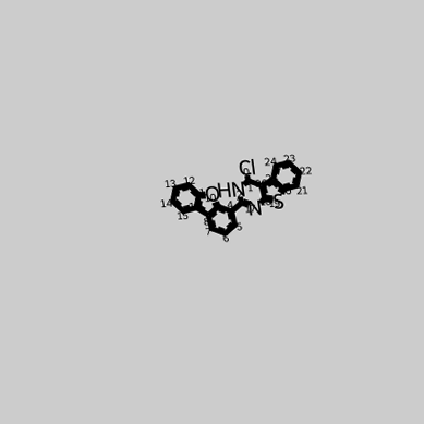 ClC1NC(c2cccc3c2oc2ccccc23)=Nc2sc3ccccc3c21